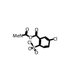 CNC(=O)OC(=O)c1cc(Cl)ccc1S(=O)(=O)Cl